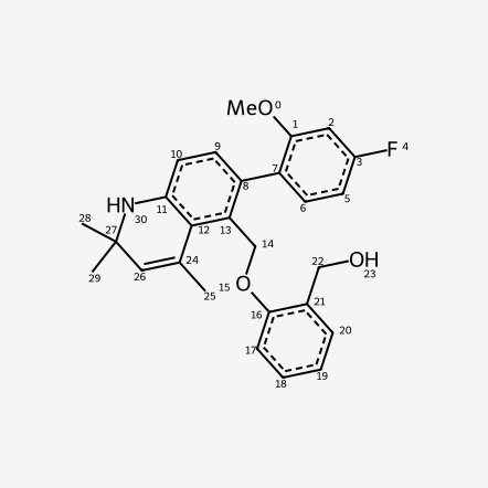 COc1cc(F)ccc1-c1ccc2c(c1COc1ccccc1CO)C(C)=CC(C)(C)N2